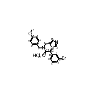 COc1ccc(CN2Cc3cncn3C(c3cccc(Br)c3)C2=O)cc1.Cl